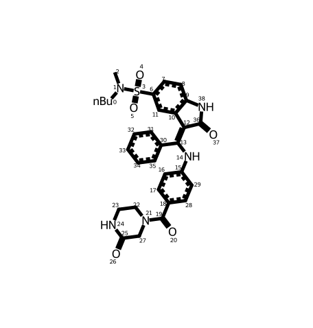 CCCCN(C)S(=O)(=O)c1ccc2c(c1)/C(=C(/Nc1ccc(C(=O)N3CCNC(=O)C3)cc1)c1ccccc1)C(=O)N2